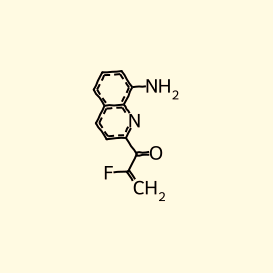 C=C(F)C(=O)c1ccc2cccc(N)c2n1